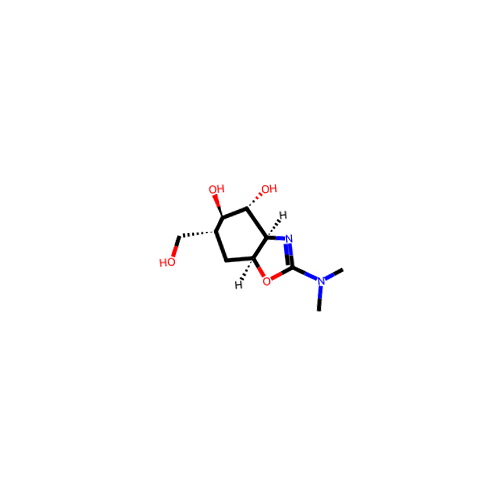 CN(C)C1=N[C@@H]2[C@@H](O)[C@H](O)[C@@H](CO)C[C@@H]2O1